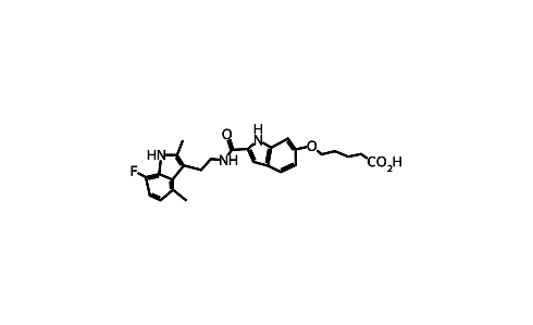 Cc1[nH]c2c(F)ccc(C)c2c1CCNC(=O)c1cc2ccc(OCCCCC(=O)O)cc2[nH]1